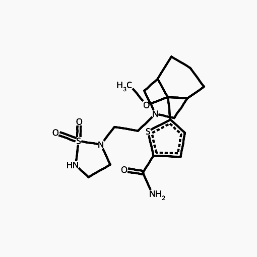 COC1(c2ccc(C(N)=O)s2)C2CCCC1CN(CCN1CCNS1(=O)=O)C2